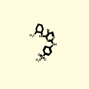 CC1CCCCC1Nc1nc(Nc2ccc(S(N)(=O)=O)cc2)ncc1Br